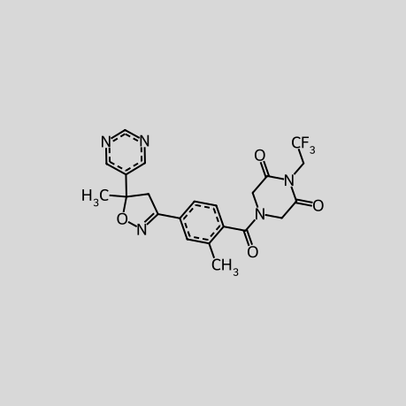 Cc1cc(C2=NOC(C)(c3cncnc3)C2)ccc1C(=O)N1CC(=O)N(CC(F)(F)F)C(=O)C1